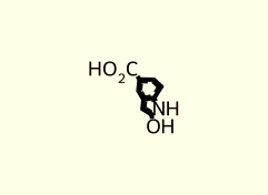 O=C(O)c1ccc2[nH]c(O)cc2c1